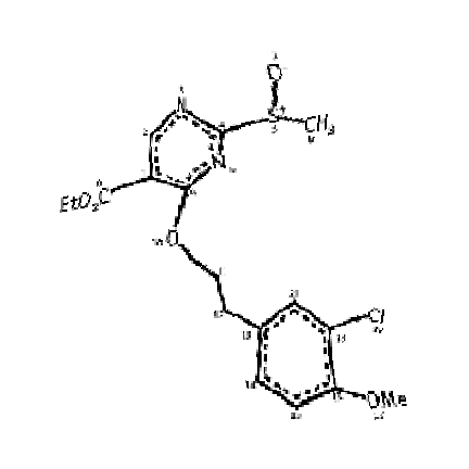 CCOC(=O)c1cnc([S+](C)[O-])nc1OCCc1ccc(OC)c(Cl)c1